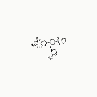 C[C@H]1CN(C[C@@H]2CN(S(=O)(=O)c3cccs3)CCN2c2ccc(C(C)(O)C(F)(F)F)cc2)CCO1